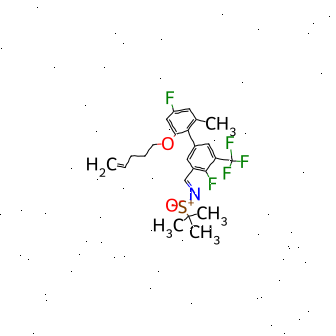 C=CCCCOc1cc(F)cc(C)c1-c1cc(/C=N/[S@+]([O-])C(C)(C)C)c(F)c(C(F)(F)F)c1